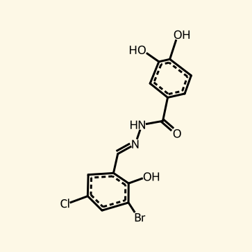 O=C(N/N=C/c1cc(Cl)cc(Br)c1O)c1ccc(O)c(O)c1